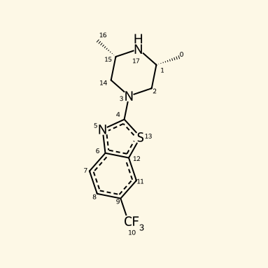 C[C@@H]1CN(c2nc3ccc(C(F)(F)F)cc3s2)C[C@H](C)N1